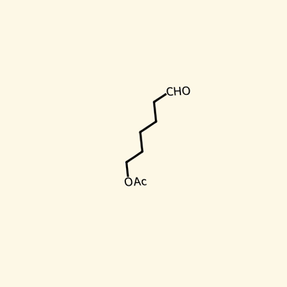 CC(=O)OCCCCCC=O